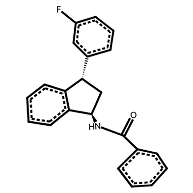 O=C(N[C@@H]1C[C@@H](c2cccc(F)c2)c2ccccc21)c1ccccc1